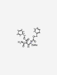 CS/C(=N\C(=O)OCc1ccccc1)NN(C(N)=O)C(=O)OCc1ccccc1